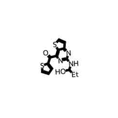 CCC(O)Nc1nc(C(=O)c2cccs2)c2sccc2n1